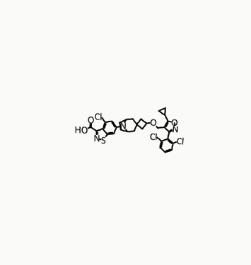 O=C(O)c1nsc2cc(N3C4CCC3CC3(CC(OCc5c(-c6c(Cl)cccc6Cl)noc5C5CC5)C3)C4)cc(Cl)c12